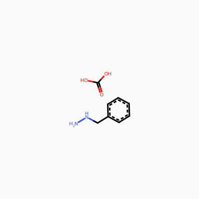 NNCc1ccccc1.O=C(O)O